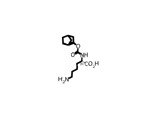 NCCCC[C@H](NC(=O)OC1=C2CCC(C2)C1)C(=O)O